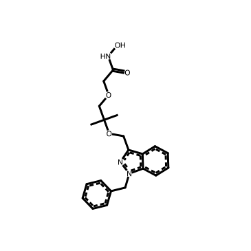 CC(C)(COCC(=O)NO)OCc1nn(Cc2ccccc2)c2ccccc12